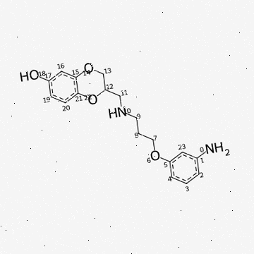 Nc1cccc(OCCCNCC2COc3cc(O)ccc3O2)c1